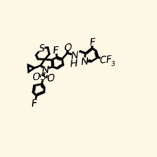 O=C(NCc1ncc(C(F)(F)F)cc1F)c1ccc2c(c1F)C1(CCSCC1)C(C1CC1)N2S(=O)(=O)c1ccc(F)cc1